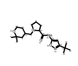 CC1(C)CC(CN2CCCC2C(=O)Nc2cc(C(C)(C)C)no2)CCO1